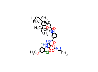 CCCNC(=O)Oc1c(NC(=O)c2cccc(NC(=O)C(CC)Oc3ccc(C(C)(C)CC)cc3C(C)(C)CC)c2)[nH]n(-c2c(Cl)cc(OC)cc2Cl)c1=O